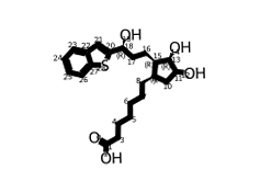 O=C(O)CCCCCC[C@@H]1CC(O)[C@H](O)[C@@H]1CC[C@@H](O)c1cc2ccccc2s1